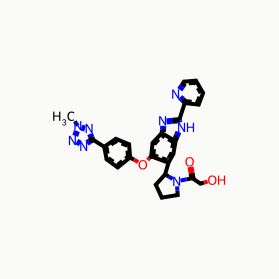 Cn1nnc(-c2ccc(Oc3cc4nc(-c5ccccn5)[nH]c4cc3C3CCCN3C(=O)CO)cc2)n1